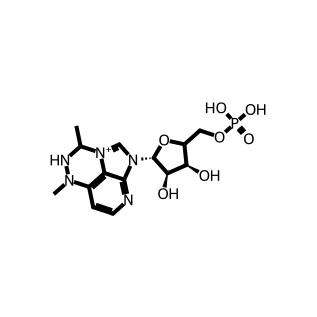 CC1NN(C)c2ccnc3c2[n+]1cn3[C@@H]1OC(COP(=O)(O)O)[C@@H](O)[C@H]1O